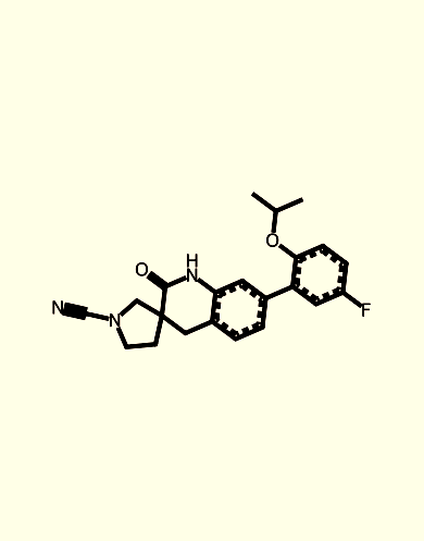 CC(C)Oc1ccc(F)cc1-c1ccc2c(c1)NC(=O)C1(CCN(C#N)C1)C2